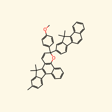 COc1ccc(C2(c3ccc4c(c3)C(C)(C)c3c-4ccc4ccccc34)C=Cc3c4c(c5ccccc5c3O2)-c2ccc(C)cc2C4(C)C)cc1